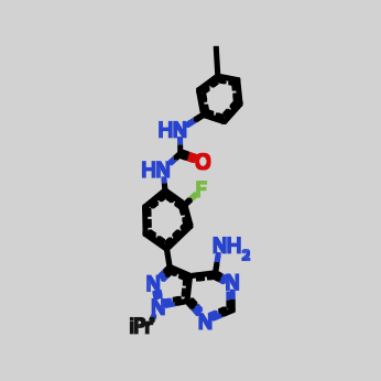 Cc1cccc(NC(=O)Nc2ccc(-c3nn(C(C)C)c4ncnc(N)c34)cc2F)c1